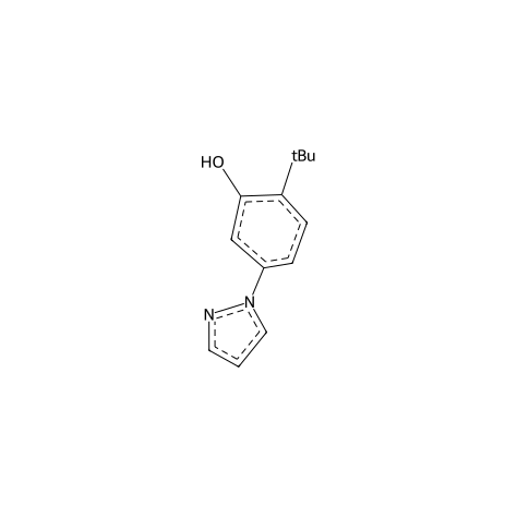 CC(C)(C)c1ccc(-n2cccn2)cc1O